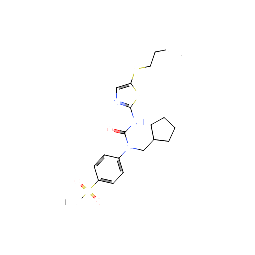 CS(=O)(=O)c1ccc(N(CC2CCCC2)C(=O)Nc2ncc(SCCC(=O)O)s2)cc1